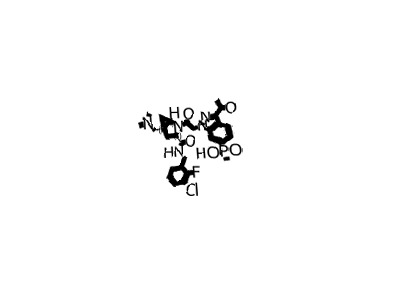 CC(=O)c1nn(CC(=O)N2[C@H](C(=O)NCc3cccc(Cl)c3F)C[C@@]3(CN(C)C)C[C@@H]23)c2cc(P(C)(=O)O)ccc12